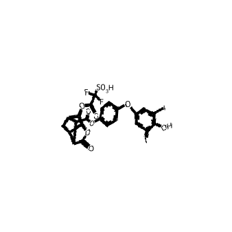 O=C1OC2C3CC(C2OC(=O)C(F)(F)S(=O)(=O)O)C(C(=O)Oc2ccc(Oc4cc(I)c(O)c(I)c4)cc2)C13